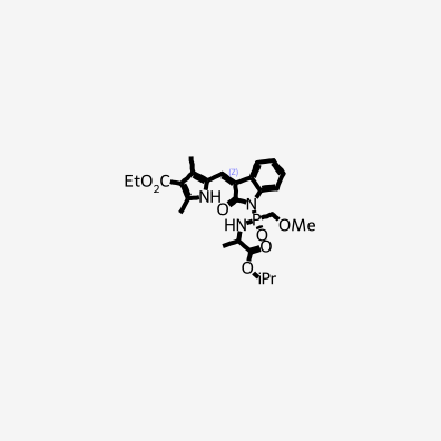 CCOC(=O)c1c(C)[nH]c(/C=C2\C(=O)N(P(=O)(COC)NC(C)C(=O)OC(C)C)c3ccccc32)c1C